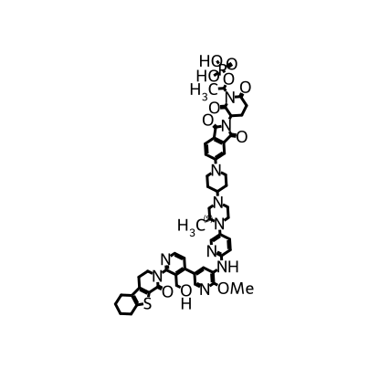 COc1ncc(-c2ccnc(N3CCc4c(sc5c4CCCC5)C3=O)c2CO)cc1Nc1ccc(N2CCN(C3CCN(c4ccc5c(c4)C(=O)N(C4CCC(=O)N(C(C)OP(=O)(O)O)C4=O)C5=O)CC3)C[C@@H]2C)cn1